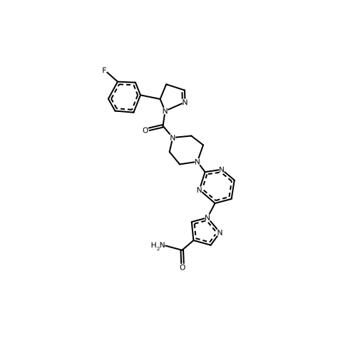 NC(=O)c1cnn(-c2ccnc(N3CCN(C(=O)N4N=CCC4c4cccc(F)c4)CC3)n2)c1